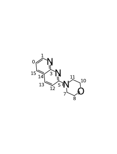 c1cnc2nc(N3CCOCC3)ccc2c1